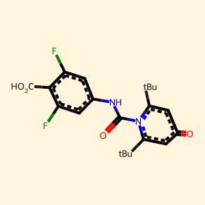 CC(C)(C)c1cc(=O)cc(C(C)(C)C)n1C(=O)Nc1cc(F)c(C(=O)O)c(F)c1